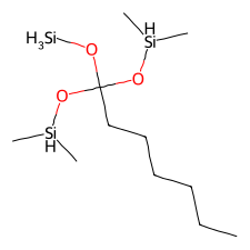 CCCCCCC(O[SiH3])(O[SiH](C)C)O[SiH](C)C